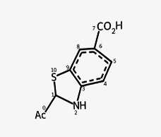 CC(=O)C1Nc2ccc(C(=O)O)cc2S1